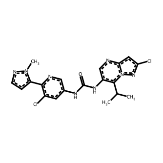 CC(C)c1c(NC(=O)Nc2cnc(-c3ccnn3C)c(Cl)c2)cnc2cc(Cl)nn12